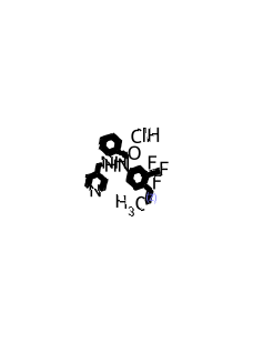 C/C=C\c1ccc(NC(=O)c2ccccc2NCc2ccncc2)cc1C(F)(F)F.Cl